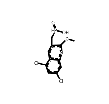 COc1nc2cc(Cl)cc(Cl)c2cc1C[PH](=O)O